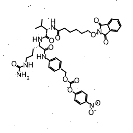 CC(C)[C@H](NC(=O)CCCCCON1C(=O)c2ccccc2C1=O)C(=O)N[C@@H](CCCNC(N)=O)C(=O)Nc1ccc(COC(=O)Oc2ccc([N+](=O)[O-])cc2)cc1